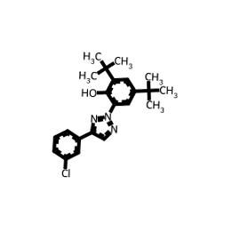 CC(C)(C)c1cc(-n2ncc(-c3cccc(Cl)c3)n2)c(O)c(C(C)(C)C)c1